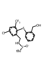 CC(C)(C)[S+]([O-])NCc1cc(Cl)cc(C(F)(F)F)c1Sc1ccccc1CO